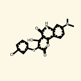 CN(C)c1ccc2c(c1)[nH]c(=O)c1c(O)c(Sc3cccc(Cl)c3)c(=O)oc12